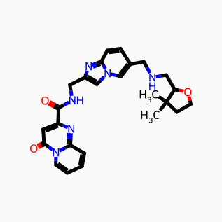 CC1(C)CCOC1CNCc1ccc2nc(CNC(=O)c3cc(=O)n4ccccc4n3)cn2c1